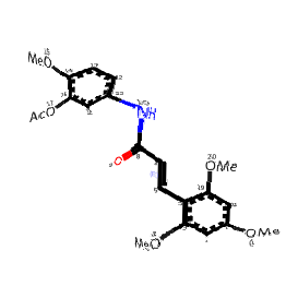 COc1cc(OC)c(/C=C/C(=O)Nc2ccc(OC)c(OC(C)=O)c2)c(OC)c1